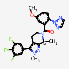 COc1ccc(-n2nccn2)c(C(=O)N2CCc3c(nn(C)c3-c3cc(F)c(F)c(F)c3)[C@@H]2C)c1